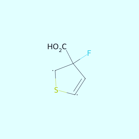 O=C(O)C1(F)[CH]S[C]=C1